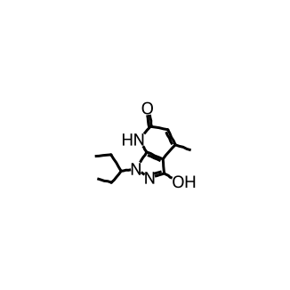 CCC(CC)n1nc(O)c2c(C)cc(=O)[nH]c21